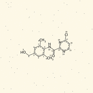 Cc1cc(CO)cc(C)c1NC(=O)c1nccc(Cl)n1